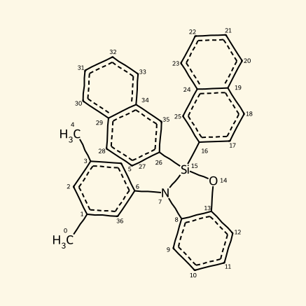 Cc1cc(C)cc(N2c3ccccc3O[Si]2(c2ccc3ccccc3c2)c2ccc3ccccc3c2)c1